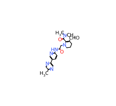 Cc1cnc(-c2ccc(NC(=O)CN3CCCC(C=O)=C3C(=O)N(C)C)nc2)cn1